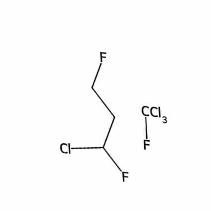 FC(Cl)(Cl)Cl.FCCC(F)Cl